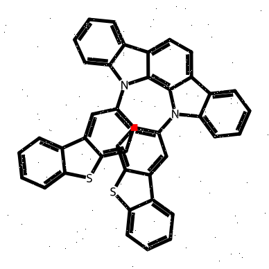 c1ccc2c(c1)sc1ccc(-n3c4ccccc4c4ccc5c6ccccc6n(-c6ccc7sc8ccccc8c7c6)c5c43)cc12